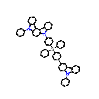 c1ccc(-n2c3ccccc3c3cc(-c4ccc([Si](c5ccccc5)(c5ccccc5)c5ccc(-n6c7ccccc7c7c8c9ccccc9n(-c9ccccc9)c8ccc76)cc5)cc4)ccc32)cc1